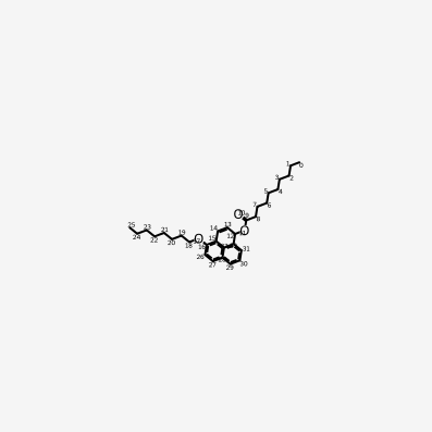 CCCCCCCCCC(=O)OC1C=Cc2c(OCCCCCCCC)ccc3cccc1c23